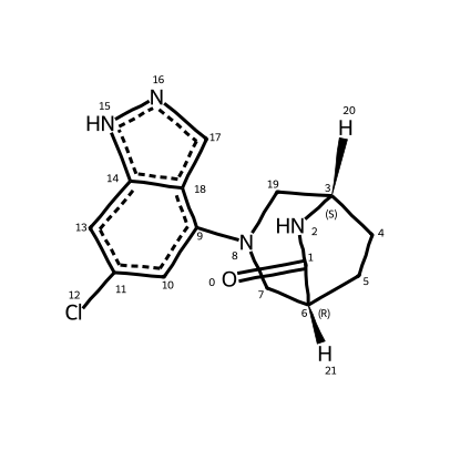 O=C1N[C@H]2CC[C@@H]1CN(c1cc(Cl)cc3[nH]ncc13)C2